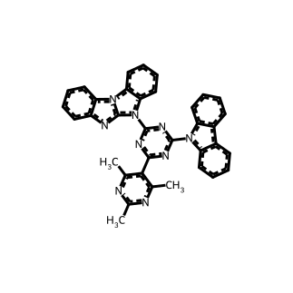 Cc1nc(C)c(-c2nc(-n3c4ccccc4c4ccccc43)nc(-n3c4ccccc4n4c5ccccc5nc34)n2)c(C)n1